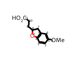 COc1ccc2c(c1)CC(CCC(=O)O)O2